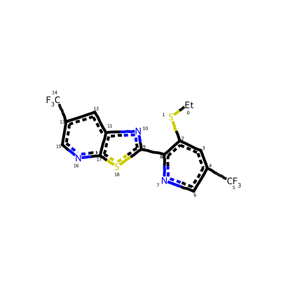 CCSc1cc(C(F)(F)F)cnc1-c1nc2cc(C(F)(F)F)cnc2s1